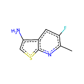 Cc1nc2scc(N)c2cc1F